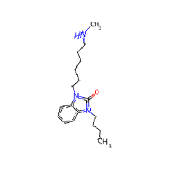 CCCCn1c(=O)n(CCCCCCNC)c2ccccc21